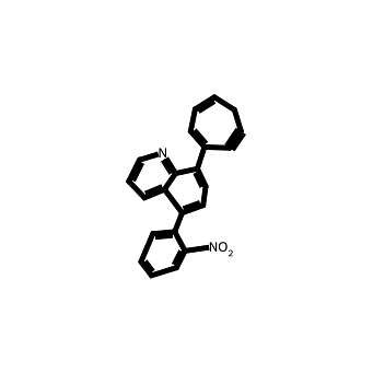 O=[N+]([O-])c1ccccc1-c1ccc(C2=CC=CCC#C2)c2ncccc12